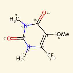 COc1c(C(F)(F)F)n(C)c(=O)n(C)c1=O